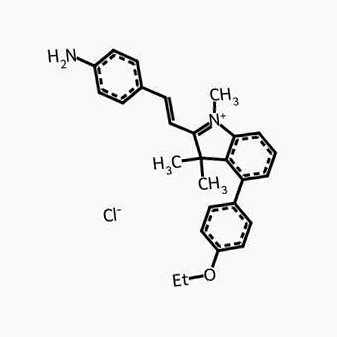 CCOc1ccc(-c2cccc3c2C(C)(C)C(C=Cc2ccc(N)cc2)=[N+]3C)cc1.[Cl-]